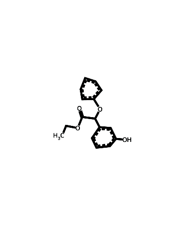 CCOC(=O)C(Oc1ccccc1)c1cccc(O)c1